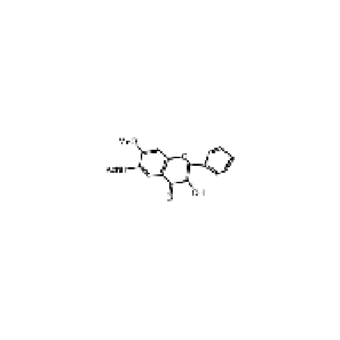 COc1cc2oc(-c3ccccc3)c(O)c(=O)c2cc1NC(C)=O